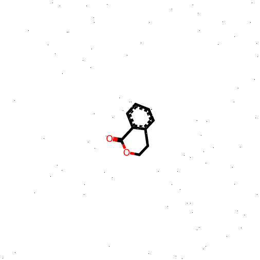 O=C1OCCc2c[c]ccc21